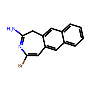 NC1=NC(Br)=Cc2cc3ccccc3cc2C1